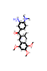 COc1cc(OC)c(OC)cc1/C=C(/C(=O)c1ccc(N(C)C)c(N)c1)C(C)C